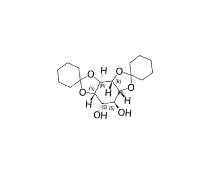 O[C@H]1[C@H](O)[C@@H]2OC3(CCCCC3)O[C@H]2[C@@H]2OC3(CCCCC3)O[C@H]12